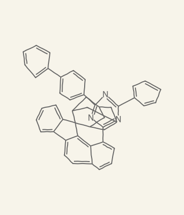 c1ccc(-c2ccc(-c3nc(-c4ccccc4)nc(-c4cccc5ccc6c(c45)C4(c5ccccc5-6)C5CC6CC(C5)CC4C6)n3)cc2)cc1